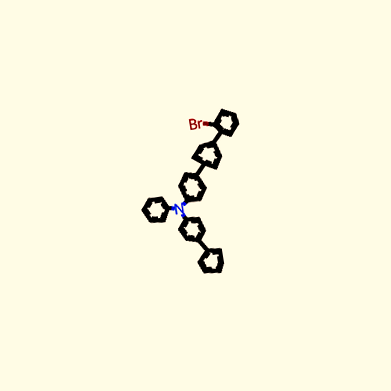 Brc1ccccc1-c1ccc(-c2ccc(N(c3ccccc3)c3ccc(-c4ccccc4)cc3)cc2)cc1